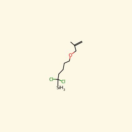 C=C(C)COCCCCC([SiH3])(Cl)Cl